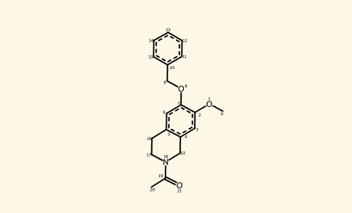 COc1cc2c(cc1OCc1ccccc1)CCN(C(C)=O)C2